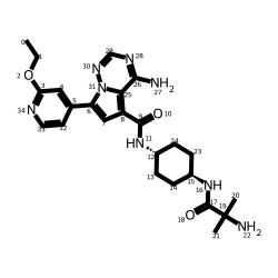 CCOc1cc(-c2cc(C(=O)N[C@H]3CC[C@H](NC(=O)C(C)(C)N)CC3)c3c(N)ncnn23)ccn1